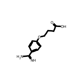 N=C(N)c1ccc(OCCCC(=O)O)cc1